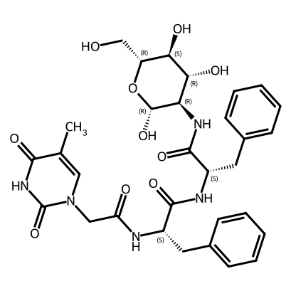 Cc1cn(CC(=O)N[C@@H](Cc2ccccc2)C(=O)N[C@@H](Cc2ccccc2)C(=O)N[C@@H]2[C@@H](O)[C@H](O)[C@@H](CO)O[C@H]2O)c(=O)[nH]c1=O